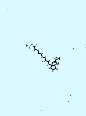 CCCCCCCCCCCC1(CC(=O)O)CCCC1